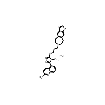 Cc1ccc2c(-c3nnc(SCCCN4CCc5cc6ncoc6cc5CC4)n3C)cccc2n1.Cl